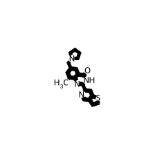 Cc1cc(CN2CCCC2)cc2c(=O)[nH]c(-c3cc4sccc4cn3)nc12